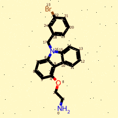 NCCOc1cccc2c1c1ccccc1n2Cc1cccc(Br)c1